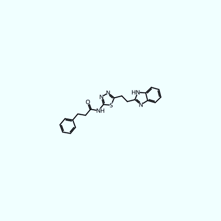 O=C(CCc1ccccc1)Nc1nnc(CCc2nc3ccccc3[nH]2)s1